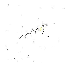 CCCCCCCCSC1CC1